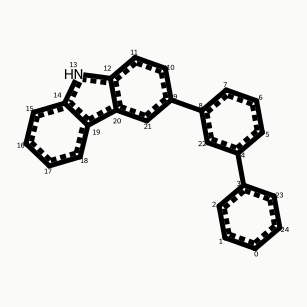 c1ccc(-c2cccc(-c3ccc4[nH]c5ccccc5c4c3)c2)cc1